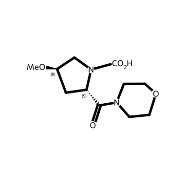 CO[C@@H]1C[C@@H](C(=O)N2CCOCC2)N(C(=O)O)C1